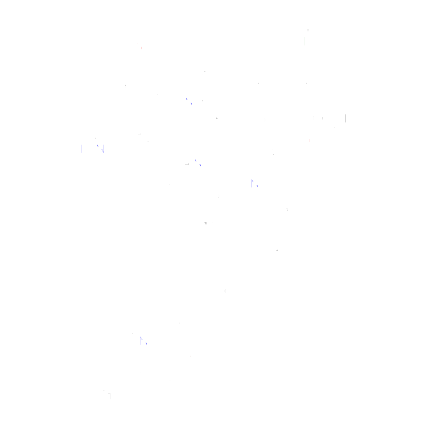 CC(C)c1csc(CCc2ccn3c(=O)c(/C=C(/F)C(=O)O)c(N4CCOCC4C(N)=O)nc3c2)n1